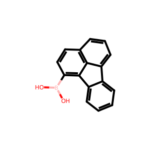 OB(O)c1ccc2cccc3c2c1-c1ccccc1-3